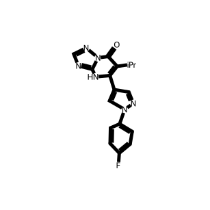 CC(C)c1c(-c2cnn(-c3ccc(F)cc3)c2)[nH]c2ncnn2c1=O